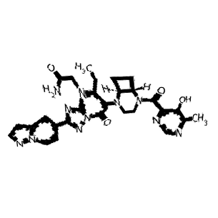 CCc1c(N2CCN(C(=O)c3ncnc(C)c3O)[C@H]3CC[C@@H]32)c(=O)n2nc(-c3ccn4nccc4c3)nc2n1CC(N)=O